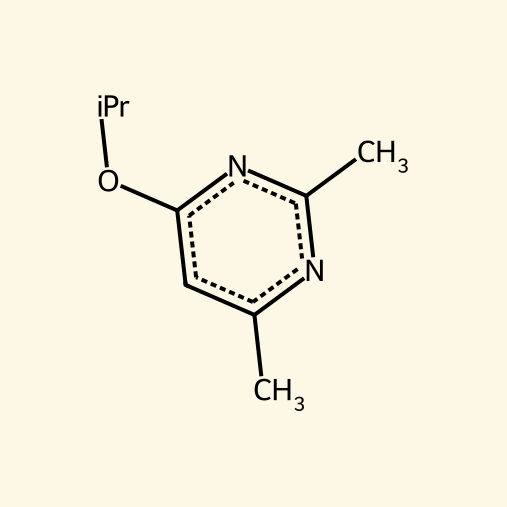 Cc1cc(OC(C)C)nc(C)n1